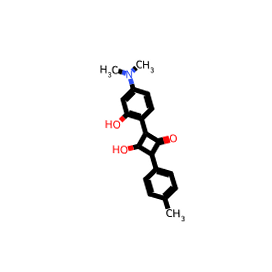 Cc1ccc(C2C(=O)C(c3ccc(N(C)C)cc3O)C2O)cc1